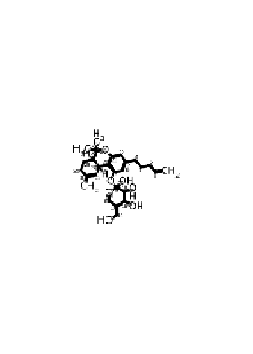 C=CCCCc1cc(OC2(O)OCC(CO)C(O)C2O)c2c(c1)OC(C)(C)[C@@H]1CCC(C)=C[C@@H]21